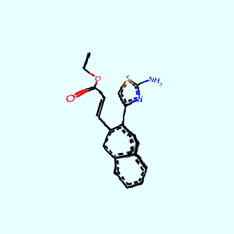 CCOC(=O)C=Cc1cc2ccccc2cc1-c1csc(N)n1